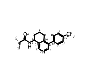 C[C@@H](I)C(=O)NC1CCCc2c(-c3ccc(C(F)(F)F)cc3)cncc21